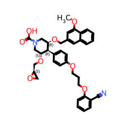 COc1cc(CO[C@H]2CN(C(=O)O)C[C@@H](OC[C@H]3CO3)[C@@H]2c2ccc(OCCCOc3ccccc3C#N)cc2)cc2ccccc12